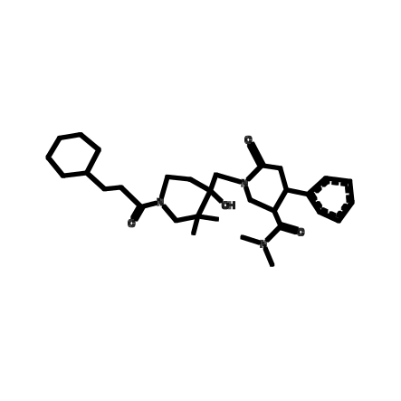 CN(C)C(=O)C1CN(CC2(O)CCN(C(=O)CCC3CCCCC3)CC2(C)C)C(=O)CC1c1ccccc1